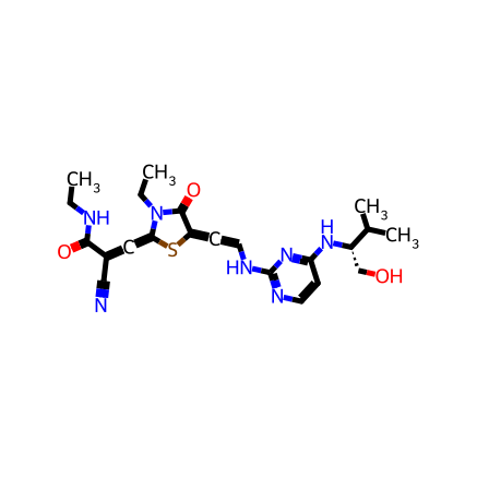 CCNC(=O)C(=C=c1sc(=C=CNc2nccc(N[C@@H](CO)C(C)C)n2)c(=O)n1CC)C#N